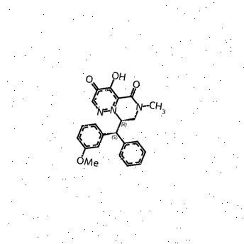 COc1cccc([C@H](c2ccccc2)[C@@H]2CN(C)C(=O)c3c(O)c(=O)cnn32)c1